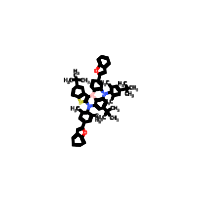 Cc1cc(C(C)(C)C)cc(C)c1N1c2cc(-c3cc4ccccc4o3)ccc2B2c3c1cc(C(C)(C)C)cc3N(c1c(C)cc(-c3cc4ccccc4o3)cc1C)c1sc3ccc(C(C)(C)C)cc3c12